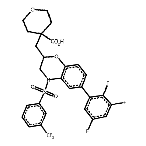 O=C(O)C1(CC2CN(S(=O)(=O)c3cccc(C(F)(F)F)c3)c3cc(-c4cc(F)cc(F)c4F)ccc3O2)CCOCC1